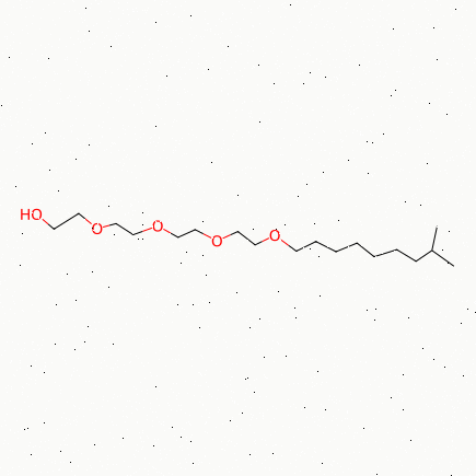 CC(C)CCCCCCCOCCOCCOCCOCCO